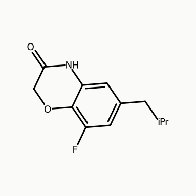 CC(C)Cc1cc(F)c2c(c1)NC(=O)CO2